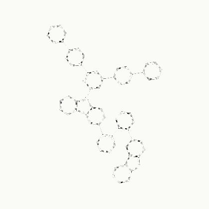 c1ccc(-c2ccc(-c3cc(-c4ccc(-c5ccccc5)cc4)nc(-n4c5ccccc5c5cc(-c6ccccc6-c6ccccc6-c6ccc7oc8ccccc8c7c6)ccc54)c3)cc2)cc1